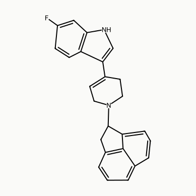 Fc1ccc2c(C3=CCN(C4Cc5cccc6cccc4c56)CC3)c[nH]c2c1